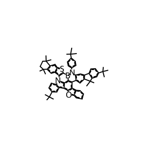 CC(C)(C)c1ccc(N2B3c4sc5cc6c(cc5c4-n4c5ccc(C(C)(C)C)cc5c5c7oc8ccccc8c7c(c3c54)-c3cc4c(cc32)-c2ccc(C(C)(C)C)cc2C4(C)C)C(C)(C)CCC6(C)C)cc1